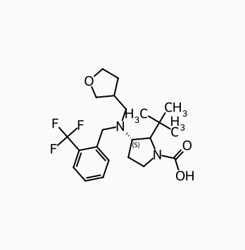 CC(C)(C)C1[C@@H](N(Cc2ccccc2C(F)(F)F)CC2CCOC2)CCN1C(=O)O